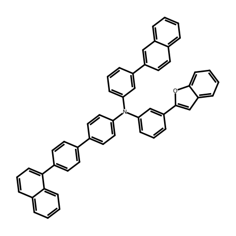 c1cc(-c2ccc3ccccc3c2)cc(N(c2ccc(-c3ccc(-c4cccc5ccccc45)cc3)cc2)c2cccc(-c3cc4ccccc4o3)c2)c1